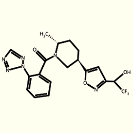 C[C@@H]1CC[C@@H](c2cc(C(O)C(F)(F)F)no2)CN1C(=O)c1ccccc1-n1ncnn1